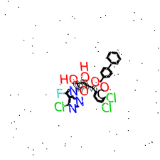 O=C(O[C@H](c1ccc(Cl)c(Cl)c1)[C@H]1O[C@@H](n2cc(F)c3c(Cl)ncnc32)[C@H](O)[C@@H]1O)c1ccc(-c2ccccc2)cc1